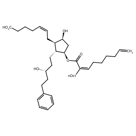 C=CCCCC/C=C(/CCCCCCCC)C(=O)O[C@@H]1C[C@H](O)[C@H](C/C=C\CCCC(=O)O)[C@H]1CC[C@@H](O)CCc1ccccc1